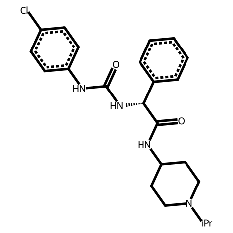 CC(C)N1CCC(NC(=O)[C@H](NC(=O)Nc2ccc(Cl)cc2)c2ccccc2)CC1